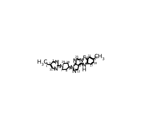 CCc1cnc(N2CCC(n3ncc4c(Nc5ccc(C)cc5F)ncnc43)CC2)nc1